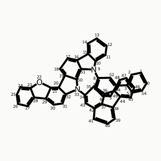 c1ccc(-c2cccc(-n3c4ccccc4c4ccc5c6c7oc8ccccc8c7ccc6n(-c6cc7c8c(cccc8c6)-c6ccccc6-7)c5c43)c2)cc1